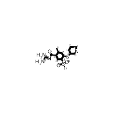 Cc1cc(Sc2cccnc2)c(S(C)(=O)=O)cc1C(=O)N=C(N)N